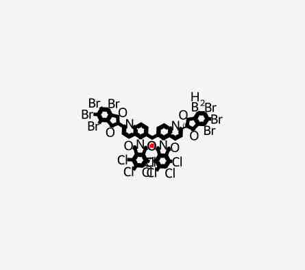 Bc1c(Br)c(Br)c(Br)c2c1C(=O)[C@H](c1ccc3c(N4C(=O)c5c(Cl)c(Cl)c(Cl)c(Cl)c5C4=O)c(Cc4ccc5nc(C6C(=O)c7c(Br)c(Br)c(Br)c(Br)c7C6=O)ccc5c4N4C(=O)c5c(Cl)c(Cl)c(Cl)c(Cl)c5C4=O)ccc3n1)C2=O